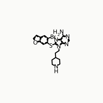 Nc1ncnc2c1nc(Sc1cc3occc3cc1Br)n2CCC1CCNCC1